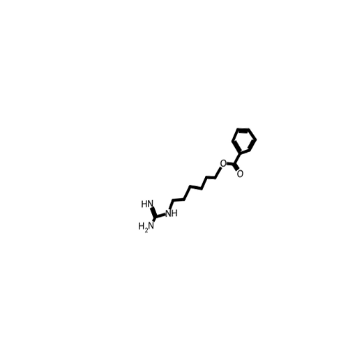 N=C(N)NCCCCCCOC(=O)c1ccccc1